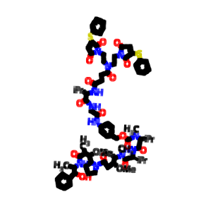 CCC(C)C(C(CC(=O)N1CCCC1C(OC)C(C)C(=O)NC(C)C(O)c1ccccc1)OC)N(C)C(=O)[C@@H](NC(=O)C(C(C)C)N(C)C(=O)OCc1ccc(NC(=O)CNC(=O)C(NC(=O)CCC(=O)N(CCN2C(=O)C=C(Sc3ccccc3)C2=O)CCN2C(=O)C=C(Sc3ccccc3)C2=O)C(C)C)cc1)C(C)C